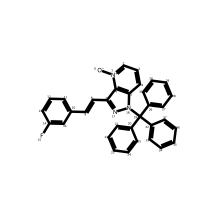 [O-][n+]1cccc2c1c(C=Cc1cccc(F)c1)nn2C(c1ccccc1)(c1ccccc1)c1ccccc1